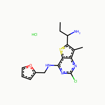 CCC(N)c1sc2c(NCc3ccco3)nc(Cl)nc2c1C.Cl